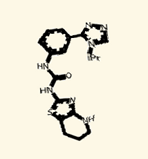 CC(C)n1cnnc1-c1cccc(NC(=O)Nc2nc3c(s2)CCCN3)c1